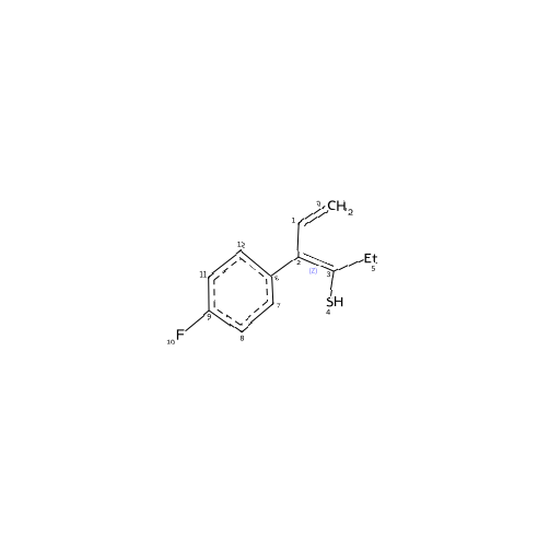 C=C/C(=C(/S)CC)c1ccc(F)cc1